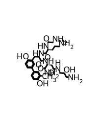 Cc1cc(-c2ccc(O)c(CC(NC(=O)[C@H](CCCN)NC(=O)CN)C(=O)N[C@@H](CC(=O)NCC(O)CN)C(N)=O)c2)ccc1O